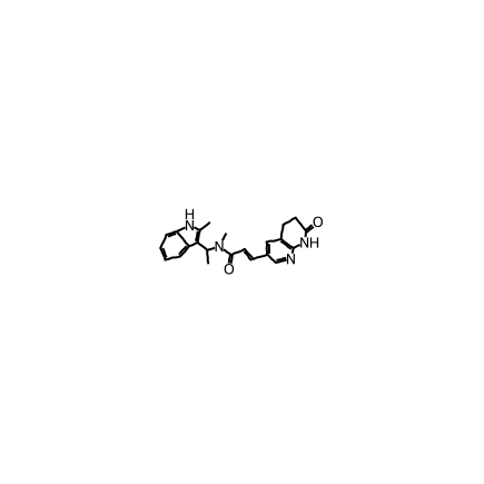 Cc1[nH]c2ccccc2c1C(C)N(C)C(=O)C=Cc1cnc2c(c1)CCC(=O)N2